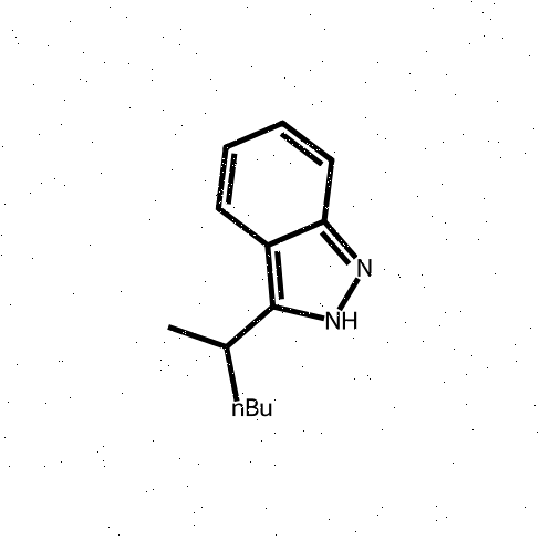 CCCCC(C)c1[nH]nc2ccccc12